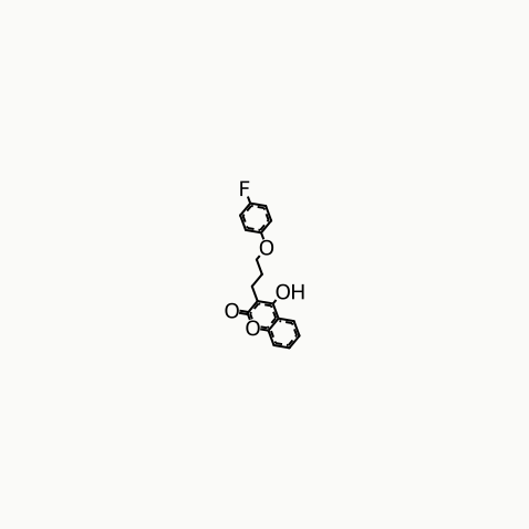 O=c1oc2ccccc2c(O)c1CCCOc1ccc(F)cc1